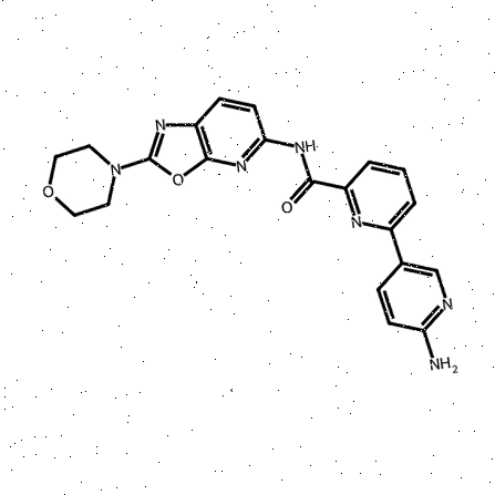 Nc1ccc(-c2cccc(C(=O)Nc3ccc4nc(N5CCOCC5)oc4n3)n2)cn1